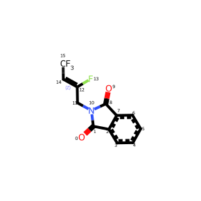 O=C1c2ccccc2C(=O)N1C/C(F)=C/C(F)(F)F